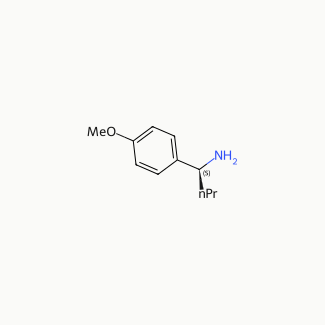 CCC[C@H](N)c1ccc(OC)cc1